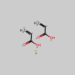 C=CC(=O)O.C=CC(=O)O.[S]